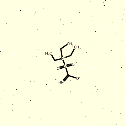 CC[N+](CC)(CC)S(=O)(=O)C(=N)[O-]